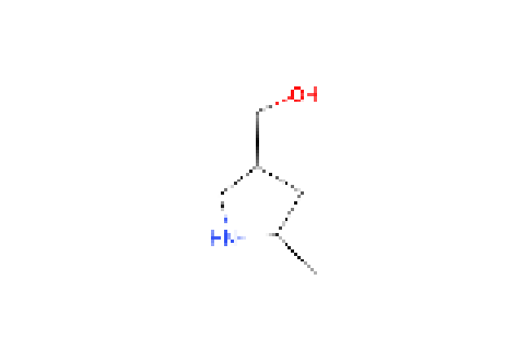 CC1CC(CO)CN1